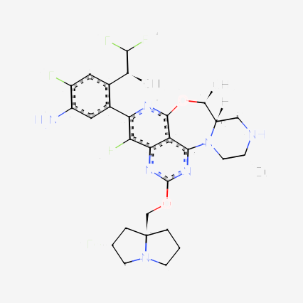 CC[C@@H]1CN2c3nc(OC[C@@]45CCCN4C[C@H](F)C5)nc4c(F)c(-c5cc(N)c(F)cc5[C@H](C)C(F)F)nc(c34)O[C@@H](C)[C@@H]2CN1